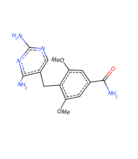 COc1cc(C(N)=O)cc(OC)c1Cc1cnc(N)nc1N